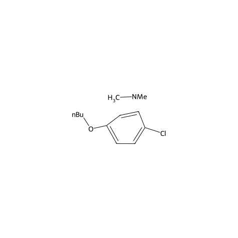 CCCCOc1ccc(Cl)cc1.CNC